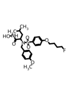 COc1ccc(CN(C(CC(C)C)C(=O)NO)S(=O)(=O)c2ccc(OCCCCF)cc2)cc1